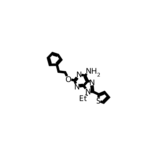 CCn1c(-c2cccs2)nc2c(N)nc(OCCc3ccccc3)nc21